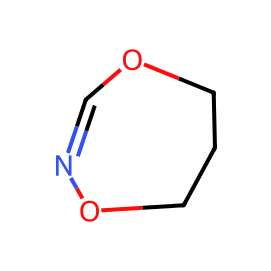 C1=NOCCCO1